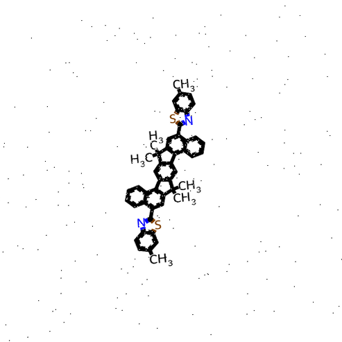 Cc1ccc2nc(-c3cc4c(c5ccccc35)-c3cc5c(cc3C4(C)C)-c3c(cc(-c4nc6ccc(C)cc6s4)c4ccccc34)C5(C)C)sc2c1